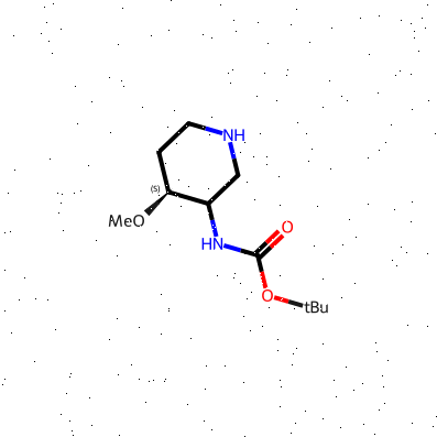 CO[C@H]1CCNCC1NC(=O)OC(C)(C)C